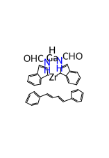 C(C=Cc1ccccc1)=Cc1ccccc1.C1=C[CH]([Zr][CH]2C=Cc3ccccc32)c2ccccc21.O=C[NH][GaH][NH]C=O